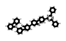 c1ccc(-c2nc(-c3ccccc3)nc(-c3ccc4c(c3)sc3cc(-c5ccc6c(c5)sc5c(-n7c8ccccc8c8ccccc87)cccc56)ccc34)n2)cc1